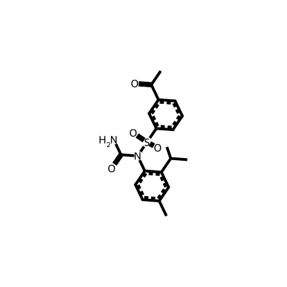 CC(=O)c1cccc(S(=O)(=O)N(C(N)=O)c2ccc(C)cc2C(C)C)c1